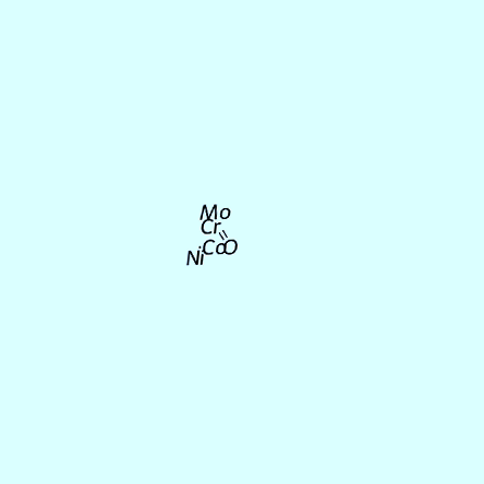 [Co].[Mo].[Ni].[O]=[Cr]